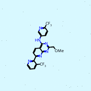 COCc1nc(Nc2ccc(C(F)(F)F)nc2)c2ccc(-c3ncccc3C(F)(F)F)nc2n1